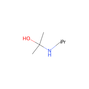 CC(C)NC(C)(C)O